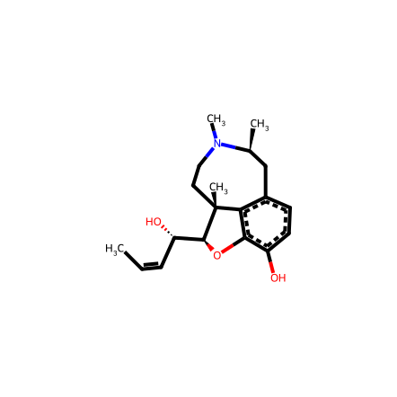 C/C=C\[C@H](O)[C@@H]1Oc2c(O)ccc3c2[C@@]1(C)CCN(C)[C@@H](C)C3